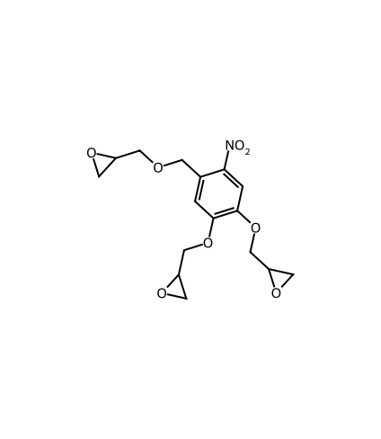 O=[N+]([O-])c1cc(OCC2CO2)c(OCC2CO2)cc1COCC1CO1